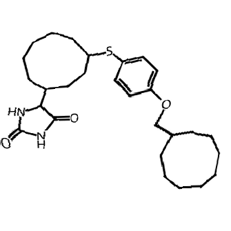 O=C1NC(=O)C(C2CCCCCC(Sc3ccc(OCC4CCCCCCCC4)cc3)CC2)N1